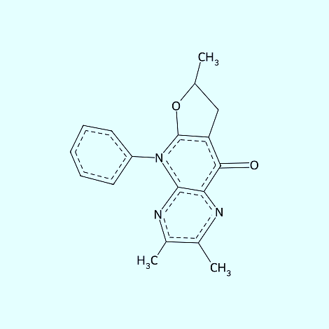 Cc1nc2c(=O)c3c(n(-c4ccccc4)c2nc1C)OC(C)C3